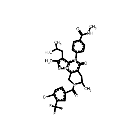 CNC(=O)c1ccc(-n2c(=O)c3c(n4nc(C)c(CC(C)C)c24)CN(C(=O)c2ccc(Br)c(C(F)(F)F)c2)C(C)C3)cc1